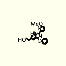 COc1cccc(C(=N)/N=C(/Oc2ccccc2)c2cc(CCO)c[nH]2)n1